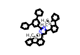 C[Si]1(C)c2ccccc2-c2cccc(-c3cc(-c4cccc5c4[Si](C)(C)c4ccccc4-5)nc(-c4cc(-c5ccccc5)cc(-c5ccccc5)c4)n3)c21